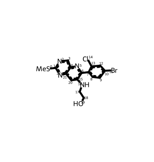 CSc1ncc2nc(-c3ccc(Br)cc3Cl)c(NCCO)cc2n1